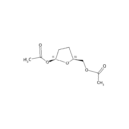 CC(=O)OC[C@@H]1CC[C@H](OC(C)=O)O1